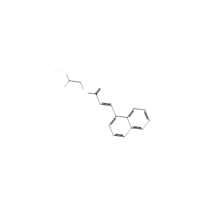 CCCCC(CC)COC(=O)/C=C/c1cccc2ccccc12